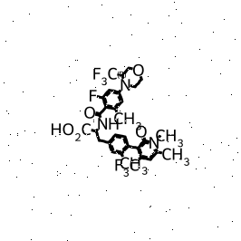 Cc1cc(CC(NC(=O)c2c(C)cc(N3CCOC[C@@H]3C(F)(F)F)cc2F)C(=O)O)ccc1-c1c(C(F)(F)F)cc(C)n(C)c1=O